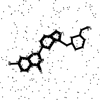 NCC1CCCC(Cc2occ3ccc(-c4nc5cc(Cl)ccc5c(=O)[nH]4)cc23)C1